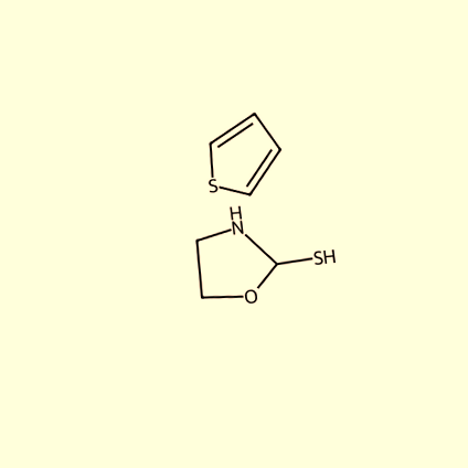 SC1NCCO1.c1ccsc1